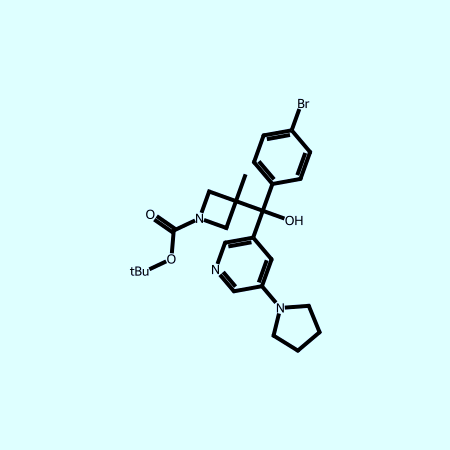 CC(C)(C)OC(=O)N1CC(C)(C(O)(c2ccc(Br)cc2)c2cncc(N3CCCC3)c2)C1